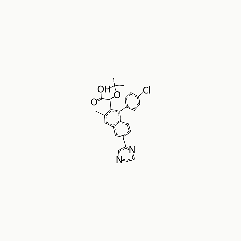 Cc1cc2cc(-c3cnccn3)ccc2c(-c2ccc(Cl)cc2)c1[C@H](OC(C)(C)C)C(=O)O